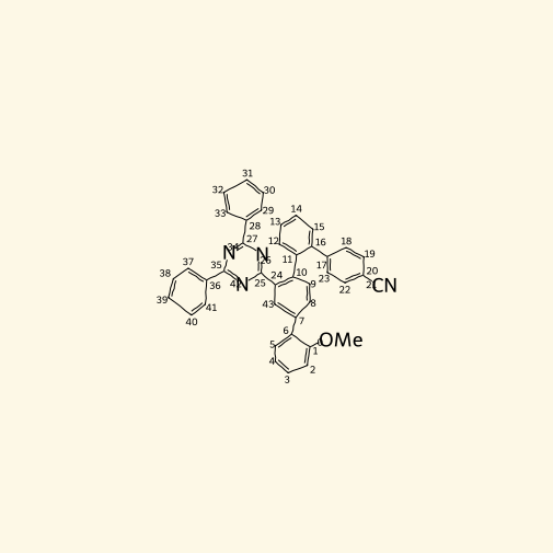 COc1ccccc1-c1ccc(-c2ccccc2-c2ccc(C#N)cc2)c(-c2nc(-c3ccccc3)nc(-c3ccccc3)n2)c1